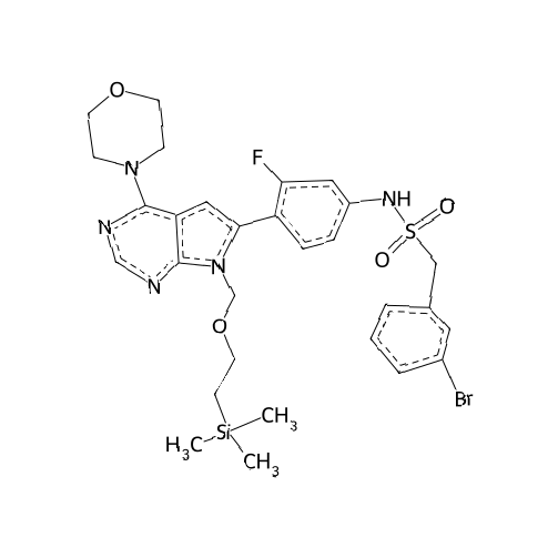 C[Si](C)(C)CCOCn1c(-c2ccc(NS(=O)(=O)Cc3cccc(Br)c3)cc2F)cc2c(N3CCOCC3)ncnc21